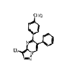 CCc1cnn2cc(-c3ccccc3)c(-c3ccc(C=O)cc3)nc12